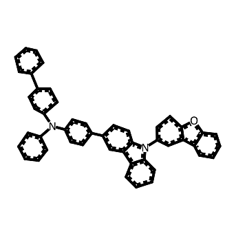 c1ccc(-c2ccc(N(c3ccccc3)c3ccc(-c4ccc5c(c4)c4ccccc4n5-c4ccc5oc6ccccc6c5c4)cc3)cc2)cc1